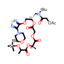 CC(=O)OCC(=O)N(C[C@@H](COc1nsnc1N1CCOCC1)OC(=O)COC(=O)[C@@H](C)OC(=O)C(C)O[Si](C)(C)C(C)(C)C)C(C)(C)C